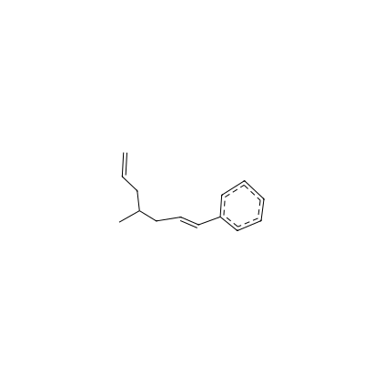 C=CCC(C)CC=Cc1ccccc1